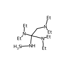 CCN(CC)CC(N[SiH3])(N(CC)CC)N(CC)CC